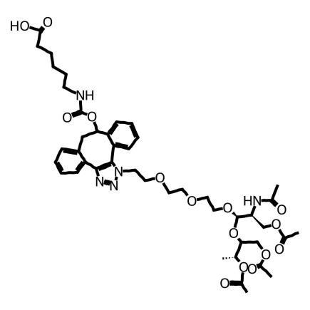 CC(=O)N[C@@H](COC(C)=O)[C@H](OCCOCCOCCn1nnc2c1-c1ccccc1C(OC(=O)NCCCCCC(=O)O)Cc1ccccc1-2)OC(COC(C)=O)[C@@H](C)OC(C)=O